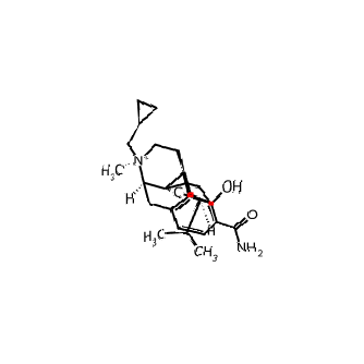 CC(C)[C@H]1C[C@@]23CCC1C[C@@]21CC[N@+](C)(CC2CC2)[C@@H]3Cc2ccc(C(N)=O)c(O)c21